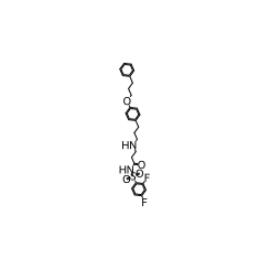 O=C(CCNCCCc1ccc(OCCCc2ccccc2)cc1)NS(=O)(=O)c1ccc(F)cc1F